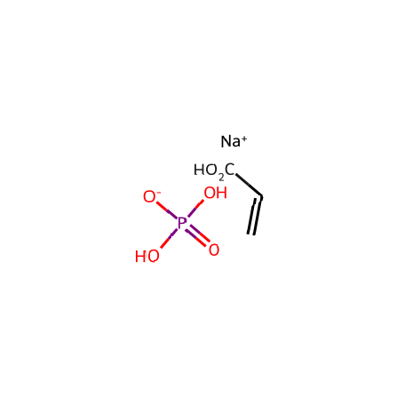 C=CC(=O)O.O=P([O-])(O)O.[Na+]